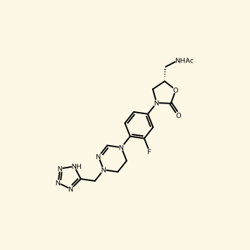 CC(=O)NC[C@H]1CN(c2ccc(N3C=NN(Cc4nnn[nH]4)CC3)c(F)c2)C(=O)O1